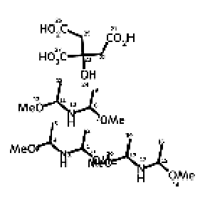 COC(C)NC(C)OC.COC(C)NC(C)OC.COC(C)NC(C)OC.O=C(O)CC(O)(CC(=O)O)C(=O)O